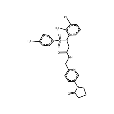 Cc1c(Cl)cccc1N(CC(=O)NCc1ccc(N2CCCC2=O)cn1)S(=O)(=O)c1ccc(C(F)(F)F)cc1